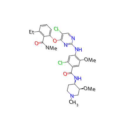 CCc1cccc(Oc2nc(Nc3cc(Cl)c(C(=O)N[C@@H]4CCN(C)C[C@@H]4OC)cc3OC)ncc2Cl)c1C(=O)NC